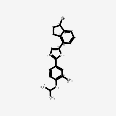 CC(C)Oc1ccc(-c2ncc(-c3cccc4c3CCC4O)s2)cc1N